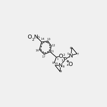 CC(OP(=O)(N1CC1)N1CC1)c1ccc([N+](=O)[O-])cc1